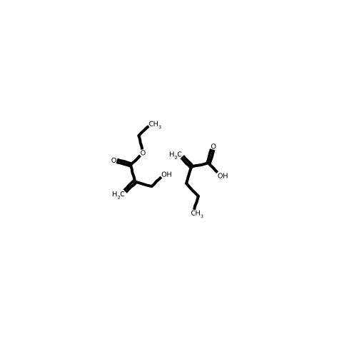 C=C(CCC)C(=O)O.C=C(CO)C(=O)OCC